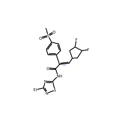 CCc1nsc(NC(=O)/C(=C/C2CC(F)C(F)C2)c2ccc(S(C)(=O)=O)cc2)n1